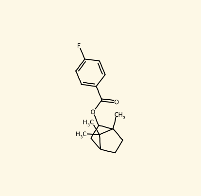 CC1(C)C2CCC1(C)C(OC(=O)c1ccc(F)cc1)C2